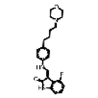 O=C1Nc2cccc(F)c2C1=CNc1ccc(CCCCN2CCOCC2)cc1